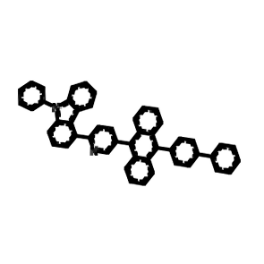 c1ccc(-c2ccc(-c3c4ccccc4c(-c4ccc(-c5cccc6c5c5ccccc5n6-c5ccccc5)nc4)c4ccccc34)cc2)cc1